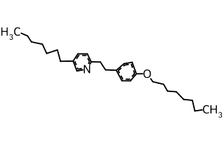 CCCCCCCCOc1ccc(CCc2ccc(CCCCCCC)cn2)cc1